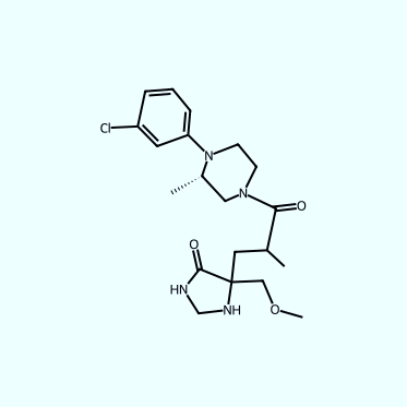 COCC1(CC(C)C(=O)N2CCN(c3cccc(Cl)c3)[C@@H](C)C2)NCNC1=O